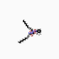 CC=CC=CC=CC=C=C=CC(=O)NC(C)(NC(=O)C=C=C=CC=CC=CC=CC)OC(=O)c1ccccc1C(F)(F)F